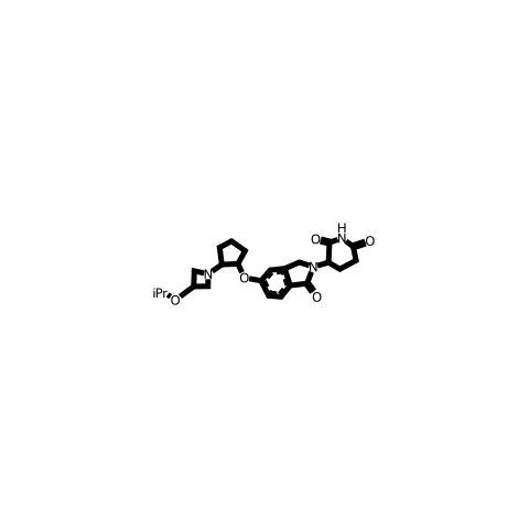 CC(C)OC1CN(C2CCCC2Oc2ccc3c(c2)CN(C2CCC(=O)NC2=O)C3=O)C1